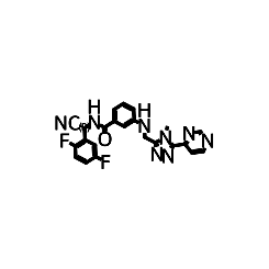 Cn1c(CNc2cccc(C(=O)N[C@@H](C#N)c3cc(F)ccc3F)c2)nnc1-c1ccncn1